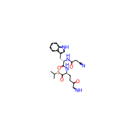 CC(C)SC(=O)[C@H](CCC(=O)C=N)NC(=O)[C@H](Cc1c[nH]c2ccccc12)NC(=O)CC#N